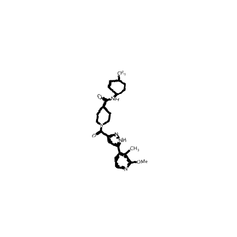 COc1nccc(-c2cc(C(=O)N3CCC(C(=O)NC4CCC(C)CC4)CC3)n[nH]2)c1C